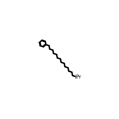 CC(C)CCCCCCCCCCCCCCc1cc[c]cc1